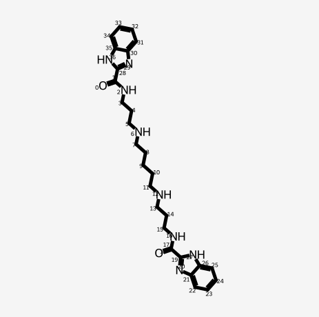 O=C(NCCCNCCCCCNCCCNC(=O)c1nc2ccccc2[nH]1)c1nc2ccccc2[nH]1